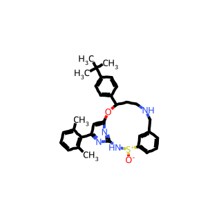 Cc1cccc(C)c1-c1cc2nc(n1)N[S+]([O-])c1cccc(c1)CNCCC(c1ccc(C(C)(C)C)cc1)O2